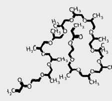 C=CC(=O)OCCOCC(C)OCC(C)OCC(C)OCC(C)OCC(C)OCC(C)OCC(C)OCC(C)OCC(C)OCC(C)OCC(C)OCC(C)OCCOC(=O)C=C